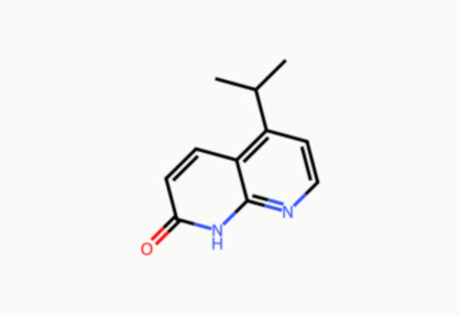 CC(C)c1ccnc2[nH]c(=O)ccc12